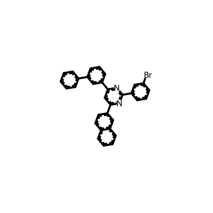 Brc1cccc(-c2nc(-c3cccc(-c4ccccc4)c3)cc(-c3ccc4ccccc4c3)n2)c1